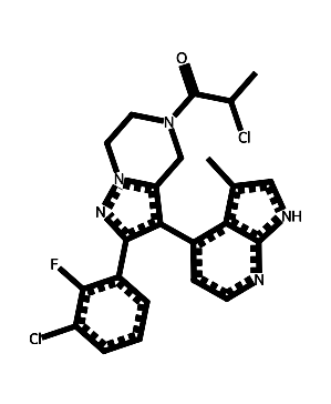 Cc1c[nH]c2nccc(-c3c(-c4cccc(Cl)c4F)nn4c3CN(C(=O)C(C)Cl)CC4)c12